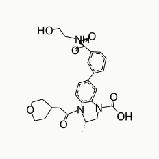 C[C@H]1CN(C(=O)O)c2cc(-c3cccc(S(=O)(=O)NCCO)c3)ccc2N1C(=O)CC1CCOCC1